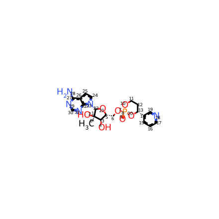 C[C@@]1(O)[C@H](O)[C@@H](CO[P@@]2(=O)OCC[C@H](c3cccnc3)O2)O[C@H]1n1ccc2c(N)ncnc21